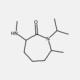 CNC1CCCC(C)N(C(C)C)C1=O